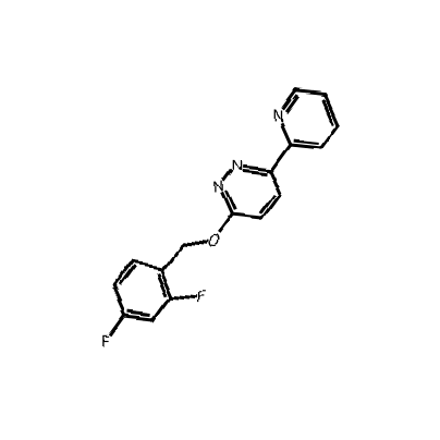 Fc1ccc(COc2ccc(-c3ccccn3)nn2)c(F)c1